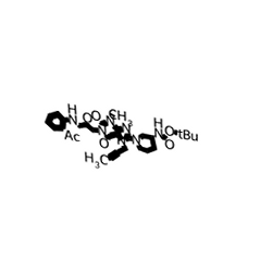 CC#CCn1c(N2CCC[C@@H](NC(=O)OC(C)(C)C)C2)nc2c1c(=O)n(CC(=O)CNc1ccccc1C(C)=O)c(=O)n2C